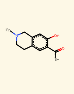 CC(C)C(=O)c1cc2c(cc1O)CN(C(C)C)CC2